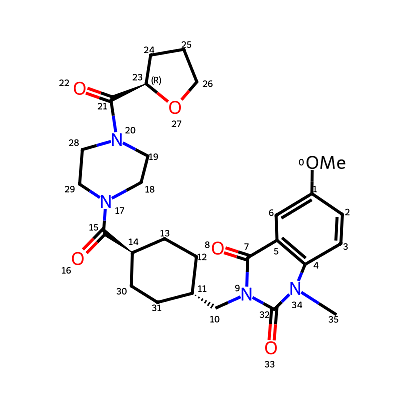 COc1ccc2c(c1)c(=O)n(C[C@H]1CC[C@H](C(=O)N3CCN(C(=O)[C@H]4CCCO4)CC3)CC1)c(=O)n2C